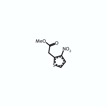 COC(=O)Cc1sccc1[N+](=O)[O-]